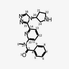 CN(C(=O)c1ccccc1)c1cccc(-c2nncn2C2CCNC2)n1